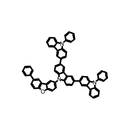 c1ccc(-c2ccc3oc4ccc(-n5c6ccc(-c7ccc8c(c7)c7ccccc7n8-c7ccccc7)cc6c6cc(-c7ccc8c(c7)c7ccccc7n8-c7ccccc7)ccc65)cc4c3c2)cc1